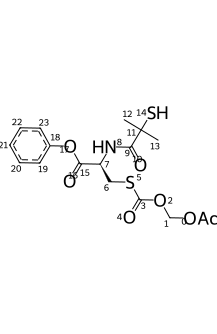 CC(=O)OCOC(=O)SC[C@H](NC(=O)C(C)(C)S)C(=O)Oc1ccccc1